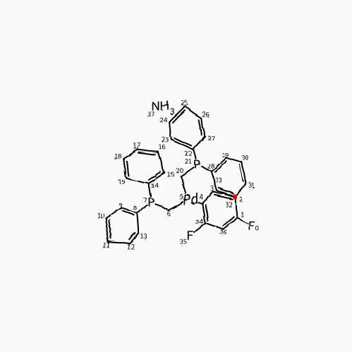 Fc1cc[c]([Pd]([CH2]P(c2ccccc2)c2ccccc2)[CH2]P(c2ccccc2)c2ccccc2)c(F)c1.N